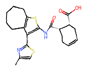 Cc1csc(-c2c(NC(=O)[C@H]3CC=CC[C@H]3C(=O)O)sc3c2CCCCC3)n1